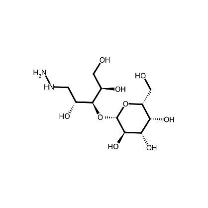 NNC[C@@H](O)[C@H](O[C@@H]1O[C@H](CO)[C@H](O)[C@H](O)[C@H]1O)[C@H](O)CO